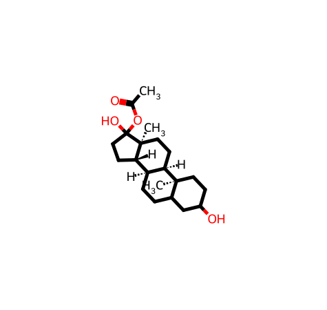 CC(=O)OC1(O)CC[C@H]2[C@@H]3CCC4CC(O)CC[C@]4(C)[C@@H]3CC[C@@]21C